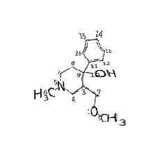 COCC1CN(C)CCC1(O)c1ccccc1